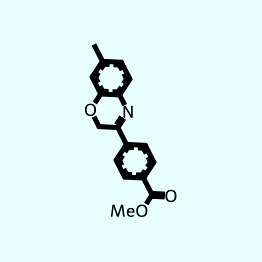 COC(=O)c1ccc(C2=Nc3ccc(C)cc3OC2)cc1